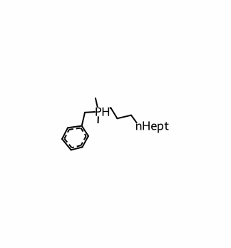 CCCCCCCCCC[PH](C)(C)Cc1ccccc1